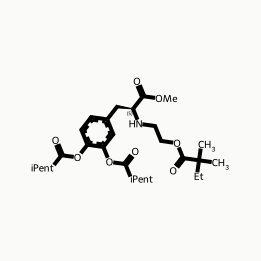 CCCC(C)C(=O)Oc1ccc(C[C@H](NCCOC(=O)C(C)(C)CC)C(=O)OC)cc1OC(=O)C(C)CCC